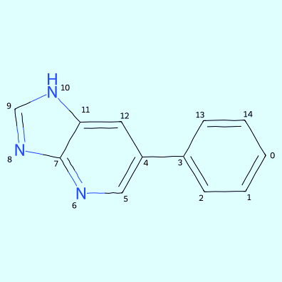 c1ccc(-c2cnc3nc[nH]c3c2)cc1